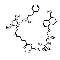 CC(C)(C)NC[C@H](O)COc1cccc2c1CCCC2=O.CC(C)OC(=O)CCC/C=C\C[C@@H]1[C@@H](CC[C@@H](O)CCc2ccccc2)[C@H](O)C[C@@H]1O.Cl